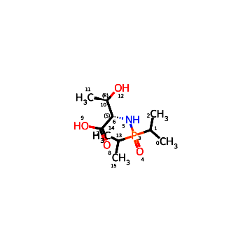 CC(C)P(=O)(N[C@H](C(=O)O)[C@@H](C)O)C(C)C